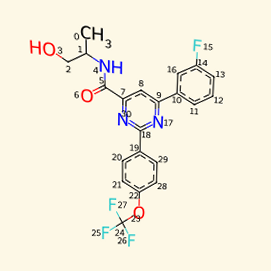 CC(CO)NC(=O)c1cc(-c2cccc(F)c2)nc(-c2ccc(OC(F)(F)F)cc2)n1